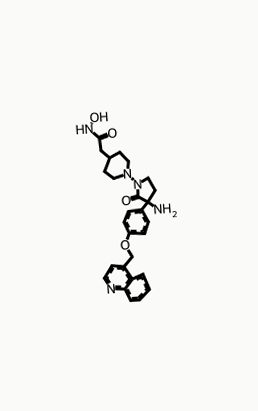 NC1(c2ccc(OCc3ccnc4ccccc34)cc2)CCN(N2CCC(CC(=O)NO)CC2)C1=O